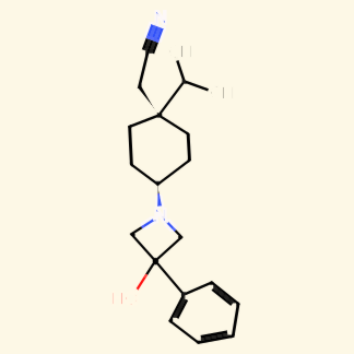 CC(C)[C@]1(CC#N)CC[C@@H](N2CC(O)(c3ccccc3)C2)CC1